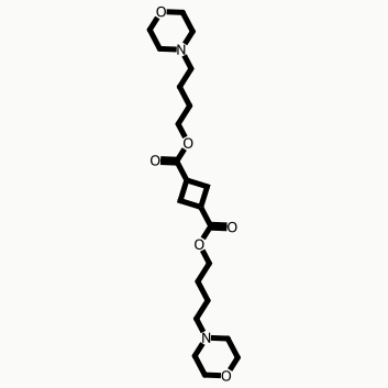 O=C(OCCCCN1CCOCC1)C1CC(C(=O)OCCCCN2CCOCC2)C1